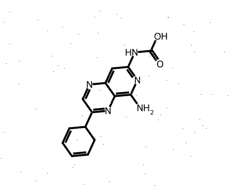 Nc1nc(NC(=O)O)cc2ncc(C3C=CC=CC3)nc12